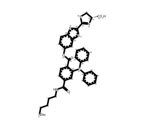 CCCCCCCCCCCCCCNC(=O)c1ccc(C(=O)Oc2ccc3nc(C4=N[C@@H](C(=O)O)CS4)sc3c2)c(P(c2ccccc2)c2ccccc2)c1